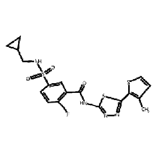 Cc1ccsc1-c1nnc(NC(=O)c2cc(S(=O)(=O)NCC3CC3)ccc2F)s1